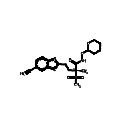 C#Cc1ccc2nc(CC[C@](C)(C(=O)NOC3CCCCO3)S(C)(=O)=O)sc2c1